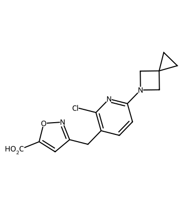 O=C(O)c1cc(Cc2ccc(N3CC4(CC4)C3)nc2Cl)no1